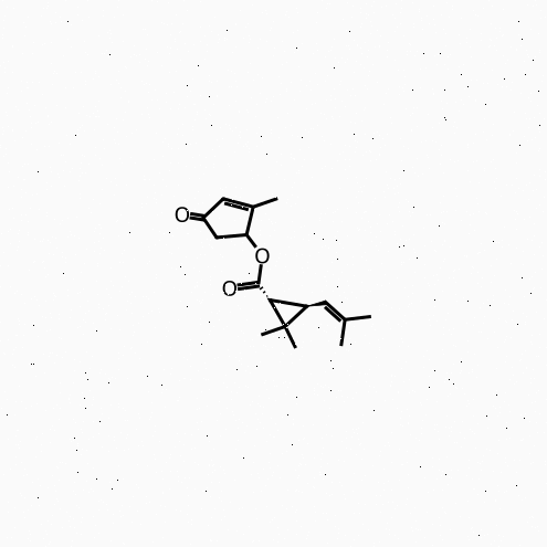 CC(C)=C[C@@H]1[C@@H](C(=O)OC2CC(=O)C=C2C)C1(C)C